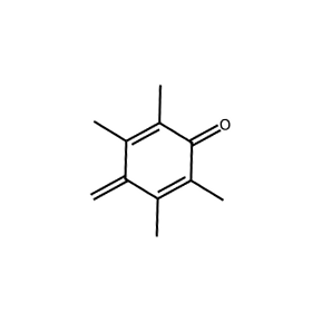 C=C1C(C)=C(C)C(=O)C(C)=C1C